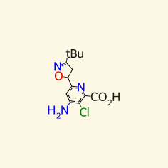 CC(C)(C)C1=NOC(c2cc(N)c(Cl)c(C(=O)O)n2)C1